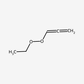 C=C=COOCC